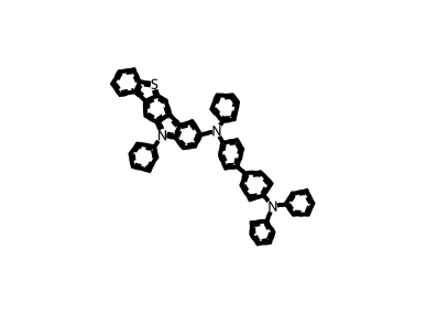 c1ccc(N(c2ccccc2)c2ccc(-c3ccc(N(c4ccccc4)c4ccc5c(c4)c4cc6sc7ccccc7c6cc4n5-c4ccccc4)cc3)cc2)cc1